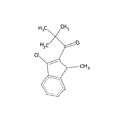 CC1C(C(=O)C(C)(C)C)=C(Cl)c2ccccc21